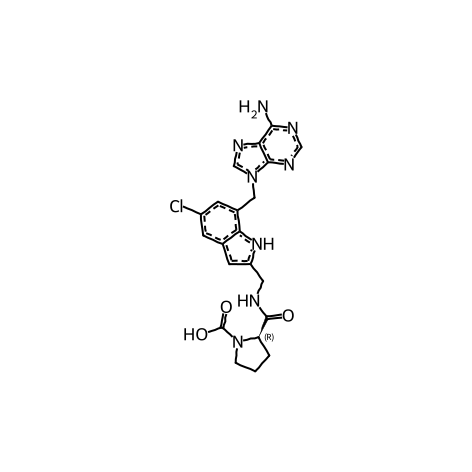 Nc1ncnc2c1ncn2Cc1cc(Cl)cc2cc(CNC(=O)[C@H]3CCCN3C(=O)O)[nH]c12